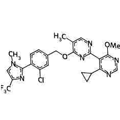 COc1ncnc(C2CC2)c1-c1ncc(C)c(OCc2ccc(-c3nc(C(F)(F)F)cn3C)c(Cl)c2)n1